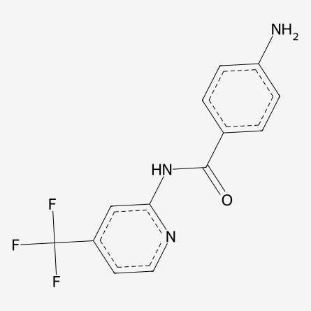 Nc1ccc(C(=O)Nc2cc(C(F)(F)F)ccn2)cc1